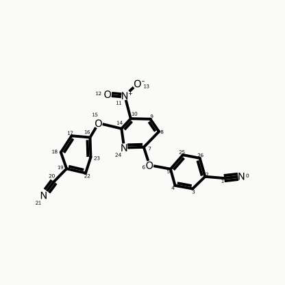 N#Cc1ccc(Oc2ccc([N+](=O)[O-])c(Oc3ccc(C#N)cc3)n2)cc1